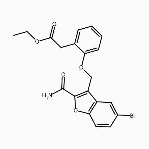 CCOC(=O)Cc1ccccc1OCc1c(C(N)=O)oc2ccc(Br)cc12